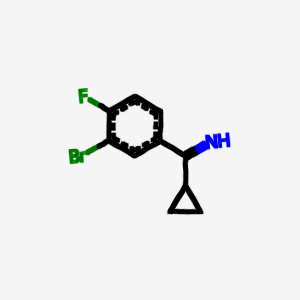 N=C(c1ccc(F)c(Br)c1)C1CC1